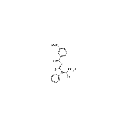 CCC(C(=O)O)n1/c(=N/C(=O)c2cccc(OC)c2)sc2ccccc21